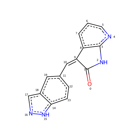 O=C1Nc2ncccc2C1=Cc1ccc2[nH]ncc2c1